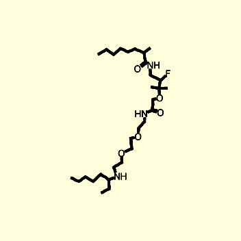 CCCCCCC(C)C(=O)NCC(F)C(C)(C)OCC(=O)NCCOCCOCCNC(CC)CCCCC